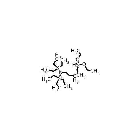 CCCN([Si](CC)(CC)CC)[Si](CC)(CC)CC.CCO[SiH](CC)OCC